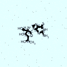 C#CC1(N)[C@@H](O)[C@@H]([C@@H](C)O)O[C@H]1n1cnc2c(=S)[nH]c(N)nc21